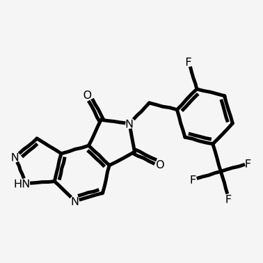 O=C1c2cnc3[nH]ncc3c2C(=O)N1Cc1cc(C(F)(F)F)ccc1F